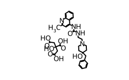 Cc1cc(NC(=O)NCCN2CCC(O)(Cc3ccccc3)CC2)c2ccccc2n1.O=C(O)CC(O)(CC(=O)O)C(=O)O